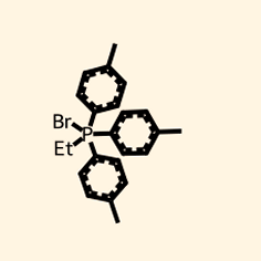 CCP(Br)(c1ccc(C)cc1)(c1ccc(C)cc1)c1ccc(C)cc1